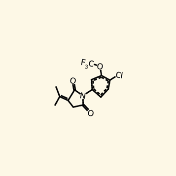 CC(C)=C1CC(=O)N(c2ccc(Cl)c(OC(F)(F)F)c2)C1=O